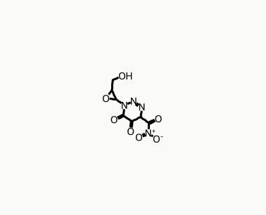 O=C1C(=O)N(C2OC2CO)N=NC1C(=O)[N+](=O)[O-]